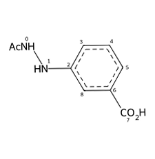 CC(=O)NNc1cccc(C(=O)O)c1